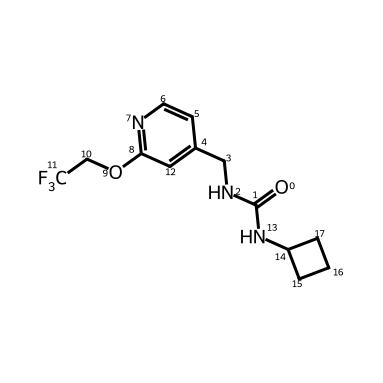 O=C(NCc1ccnc(OCC(F)(F)F)c1)NC1CCC1